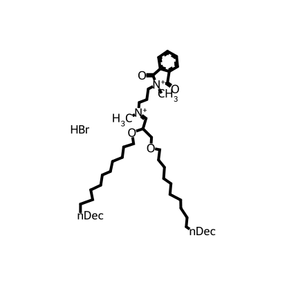 Br.CCCCCCCCCCCCCCCCCCCCOCC(C=[N+](C)CCC[N+]1(C)C(=O)c2ccccc2C1=O)OCCCCCCCCCCCCCCCCCCCC